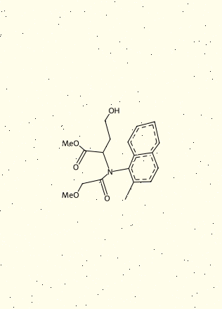 COCC(=O)N(c1c(C)ccc2ccccc12)C(CCO)C(=O)OC